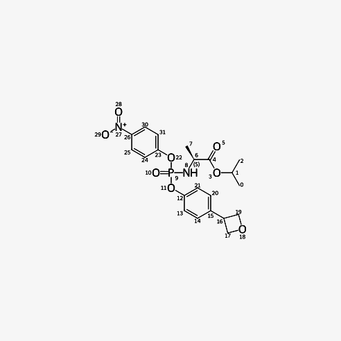 CC(C)OC(=O)[C@H](C)NP(=O)(Oc1ccc(C2COC2)cc1)Oc1ccc([N+](=O)[O-])cc1